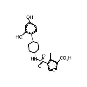 Cc1c(C(=O)O)cccc1S(=O)(=O)N[C@H]1CC[C@@H](c2ccc(O)cc2O)CC1